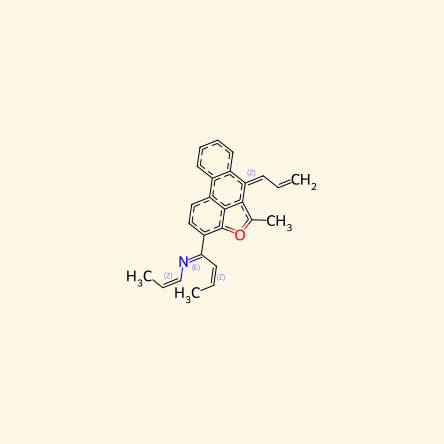 C=C/C=c1/c2ccccc2c2ccc(C(/C=C\C)=N/C=C\C)c3oc(C)c1c32